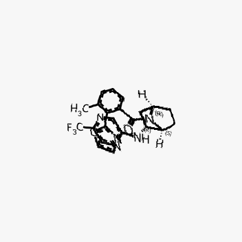 Cc1cccc(C(=O)N2[C@@H]3CC[C@H]2[C@H](Nc2cnc(C(F)(F)F)cn2)C3)c1-c1ncco1